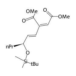 CCC[C@@H](/C=C/C(=C/C(=O)OC)C(=O)OC)O[Si](C)(C)C(C)(C)C